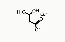 CC(O)CC(=O)[O-].[Cu+]